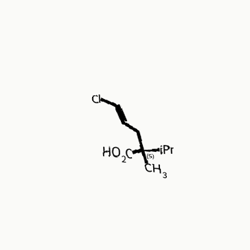 CC(C)[C@](C)(CC=CCl)C(=O)O